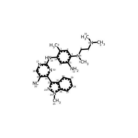 Cc1cc(N(C)CCN(C)C)c(N)cc1Nc1ncc(C#N)c(-c2nn(C)c3ccccc23)n1